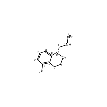 CCCNC[C@@H]1OCCc2c(F)cccc21